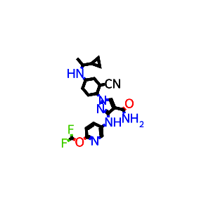 CC(NC1CCC(n2cc(C(N)=O)c(Nc3ccc(OC(F)F)nc3)n2)C(C#N)C1)C1CC1